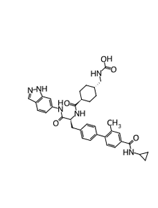 Cc1cc(C(=O)NC2CC2)ccc1-c1ccc(C[C@H](NC(=O)[C@H]2CC[C@H](CNC(=O)O)CC2)C(=O)Nc2ccc3cn[nH]c3c2)cc1